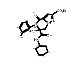 CCOC(=O)c1cc2n(n1)CC(C)(C(=O)NC1CCCCC1)N(c1cccc(CC)c1)C2=O